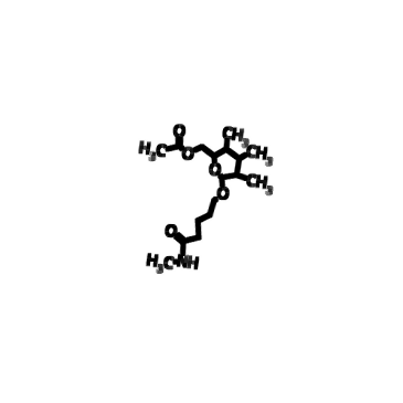 CNC(=O)CCCCOC1OC(COC(C)=O)C(C)C(C)C1C